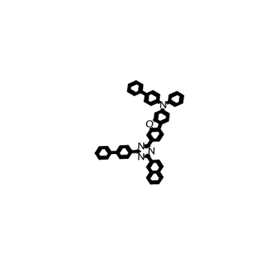 c1ccc(-c2ccc(-c3nc(-c4ccc5ccccc5c4)nc(-c4ccc5c(c4)oc4cc(N(c6ccccc6)c6ccc(-c7ccccc7)cc6)ccc45)n3)cc2)cc1